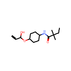 C=CC(O)OC1CCC(NC(=O)C(C)(C)CC)CC1